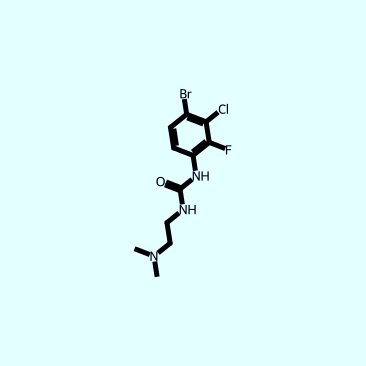 CN(C)CCNC(=O)Nc1ccc(Br)c(Cl)c1F